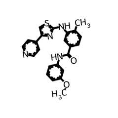 COc1cccc(NC(=O)c2ccc(C)c(Nc3nc(-c4ccncc4)cs3)c2)c1